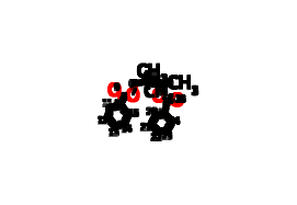 CC(CC(C)(C)COC(=O)c1ccccc1)OC(=O)c1ccccc1